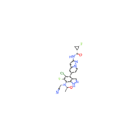 CC(=O)N(CC#N)c1c(F)c(Cl)c(-c2ccn3nc(NC(=O)[C@@H]4C[C@@H]4F)cc3c2)c2cn[nH]c12